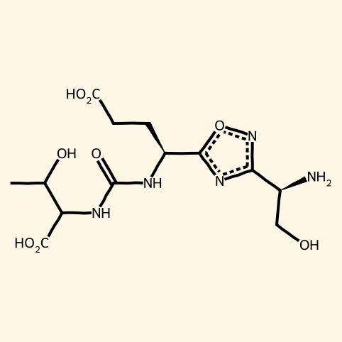 CC(O)C(NC(=O)N[C@@H](CCC(=O)O)c1nc([C@@H](N)CO)no1)C(=O)O